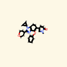 Cn1cc(-c2ccc3c(nc(C4CCOCC4)n3C3CC3)c2Oc2ccccc2)ccc1=O